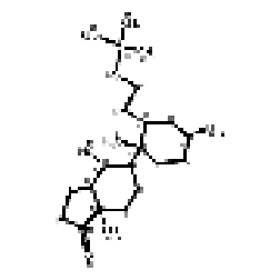 C[C@H]1CC[C@](C)(C2CC[C@]3(C)C(=O)CCC3[C@@H]2O)[C@@H](CCO[Si](C)(C)C(C)(C)C)C1